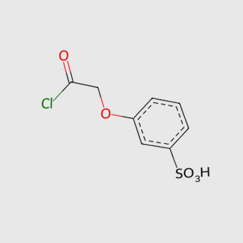 O=C(Cl)COc1cccc(S(=O)(=O)O)c1